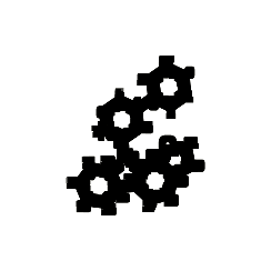 c1ccc(-c2ccnc(-n3c4ccccc4c4ccc5ccoc5c43)c2)cc1